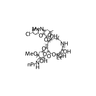 CCCNC[C@]1(O)[C@H](C)O[C@@H](O[C@H]2[C@H](C)[C@@H](O[C@@H]3O[C@H](C)C[C@H](NC)[C@H]3Oc3cccc(Cl)c3)[C@](C)(O)C[C@@H](C)CN[C@H](C)[C@@H](O)[C@](C)(O)[C@@H](CC)OC(=O)[C@@H]2C)C[C@@]1(C)OC